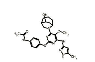 COc1c(Nc2cc(C)[nH]n2)nc(Sc2ccc(NC(C)=O)cc2)nc1N1CC2CCCC1CC2O